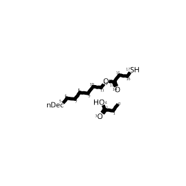 CCC(=O)O.CCCCCCCCCCCCCCCCOC(=O)CCS